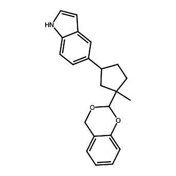 CC1(C2OCc3ccccc3O2)CCC(c2ccc3[nH]ccc3c2)C1